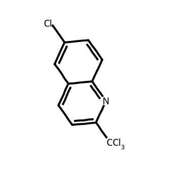 Clc1ccc2nc(C(Cl)(Cl)Cl)ccc2c1